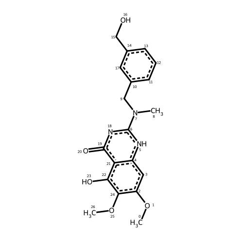 COc1cc2[nH]c(N(C)Cc3cccc(CO)c3)nc(=O)c2c(O)c1OC